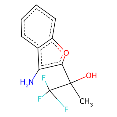 CC(O)(c1oc2ccccc2c1N)C(F)(F)F